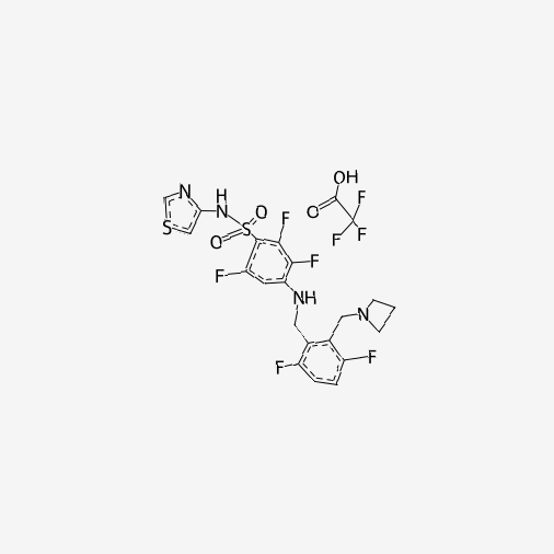 O=C(O)C(F)(F)F.O=S(=O)(Nc1cscn1)c1c(F)cc(NCc2c(F)ccc(F)c2CN2CCC2)c(F)c1F